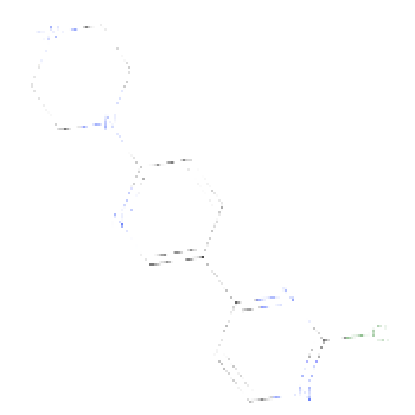 Clc1nccc(-c2ccc(N3CCNCC3)nc2)n1